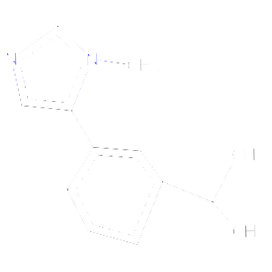 CC(C)c1cccc(-c2cncn2C)c1